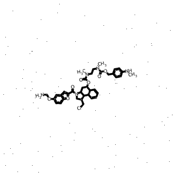 CNc1ccc(COC(=O)N(C)CCN(C)C(=O)OC2CC3C(C(CCl)CN3C(=O)c3cc4cc(OCN)ccc4o3)C3C=CC=CC23)cc1